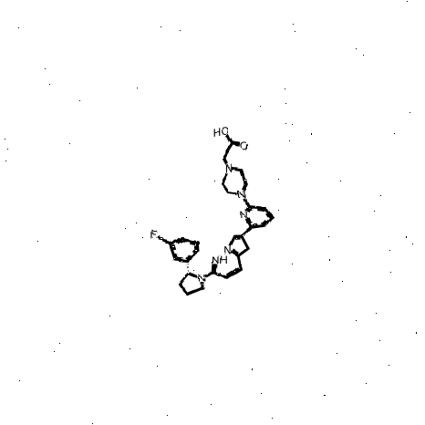 N=C(/C=C\C1=NC=C(c2cccc(N3CCN(CC(=O)O)CC3)n2)C1)N1CCC[C@@H]1c1cccc(F)c1